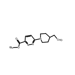 CC(C)(C)OC(=O)c1ccc(N2CCC(CC=O)CC2)nn1